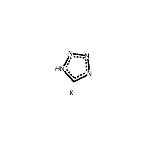 [K].c1nnn[nH]1